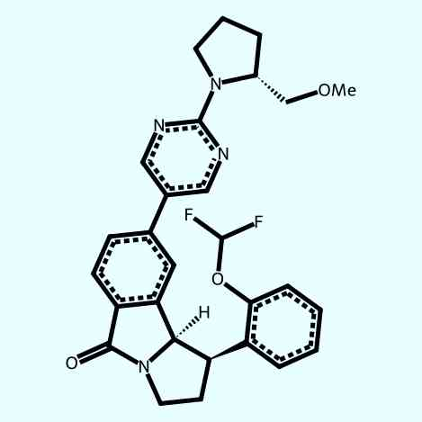 COC[C@H]1CCCN1c1ncc(-c2ccc3c(c2)[C@H]2[C@@H](c4ccccc4OC(F)F)CCN2C3=O)cn1